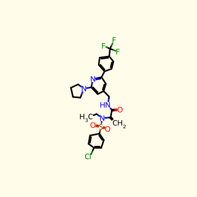 C=C(C(=O)NCc1cc(-c2ccc(C(F)(F)F)cc2)nc(N2CCCC2)c1)N(CC)S(=O)(=O)c1ccc(Cl)cc1